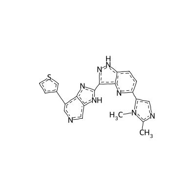 Cc1ncc(-c2ccc3[nH]nc(-c4nc5c(-c6ccsc6)cncc5[nH]4)c3n2)n1C